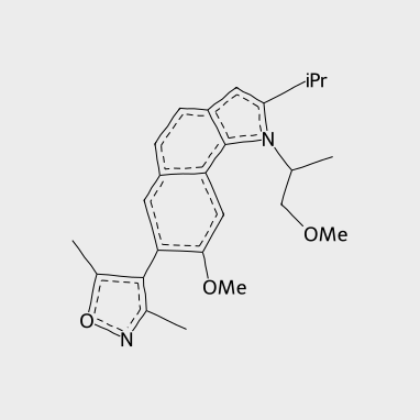 COCC(C)n1c(C(C)C)cc2ccc3cc(-c4c(C)noc4C)c(OC)cc3c21